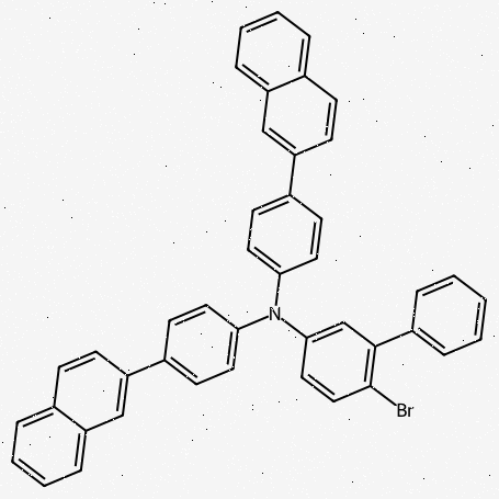 Brc1ccc(N(c2ccc(-c3ccc4ccccc4c3)cc2)c2ccc(-c3ccc4ccccc4c3)cc2)cc1-c1ccccc1